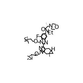 CCN(C(=O)[C@H](C)N1CCOCC1)c1cc(F)c2c(c1)nc(-c1nn(COCC[Si](C)(C)C)c3c1C[C@@H]1C[C@]1(C)C3)n2COCC[Si](C)(C)C